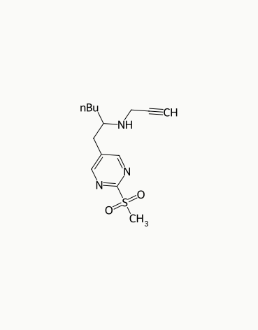 C#CCNC(CCCC)Cc1cnc(S(C)(=O)=O)nc1